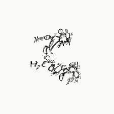 C=C(CCOc1cc2c(cc1OC)C(=O)N1CCC[C@H]1C=N2)COc1ccc(-n2c(C)nc3ccccc3c2=O)cc1